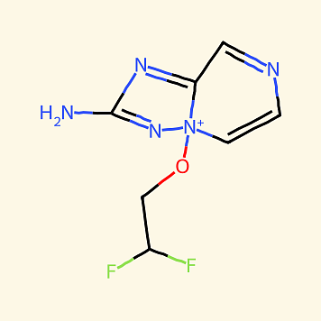 NC1=N[N+]2(OCC(F)F)C=CN=CC2=N1